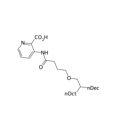 CCCCCCCCCCC(CCCCCCCC)COCCCC(=O)Nc1cccnc1C(=O)O